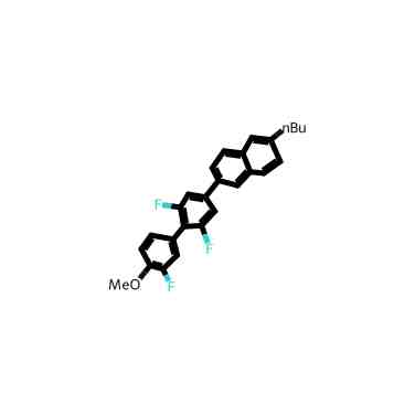 CCCCc1ccc2cc(-c3cc(F)c(-c4ccc(OC)c(F)c4)c(F)c3)ccc2c1